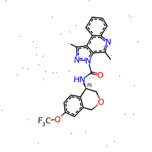 Cc1nn(C(=O)N[C@H]2COCc3cc(OC(F)(F)F)ccc32)c2c(C)nc3ccccc3c12